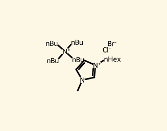 CCCCCC[n+]1ccn(C)c1.CCCC[N+](CCCC)(CCCC)CCCC.[Br-].[Cl-]